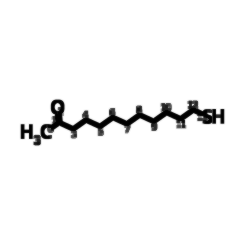 CC(=O)CCCCCCCCCCS